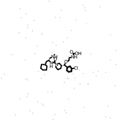 CNC[C@H](CC1CCCCC1)NC(=O)N1CCC[C@@H](C(OCCNC(=O)O)c2cccc(Cl)c2)C1